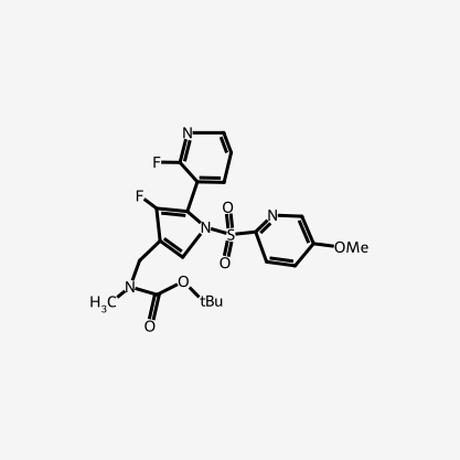 COc1ccc(S(=O)(=O)n2cc(CN(C)C(=O)OC(C)(C)C)c(F)c2-c2cccnc2F)nc1